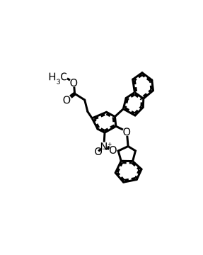 COC(=O)CCc1cc(-c2ccc3ccccc3c2)c(OC2Cc3ccccc3C2)c([N+](=O)[O-])c1